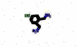 Cl.NCc1ccccc1CN